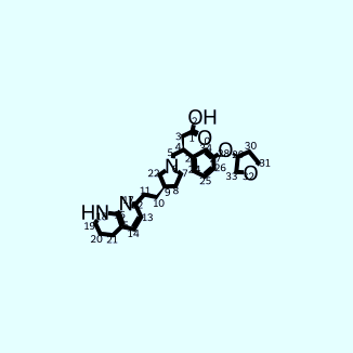 O=C(O)C[C@H](CN1CC[C@@H](CCc2ccc3c(n2)NCCC3)C1)c1cccc(O[C@H]2CCOC2)c1